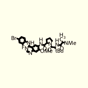 CNC(C)C(=O)NC(C(=O)N1CCCC1C(=O)Nc1cc2c(Nc3ccc(Br)cc3F)ncnc2cc1OC)C(C)(C)C